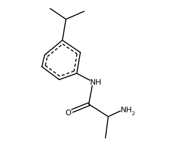 CC(N)C(=O)Nc1cccc(C(C)C)c1